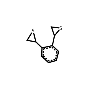 c1ccc(C2CS2)c(C2CS2)c1